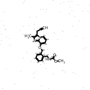 C#CCc1c(C)nc2c(OCc3ccccc3CNC(=O)OC)cccn12